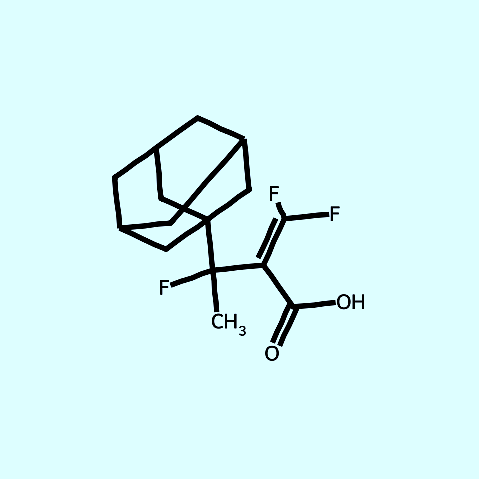 CC(F)(C(C(=O)O)=C(F)F)C12CC3CC(CC(C3)C1)C2